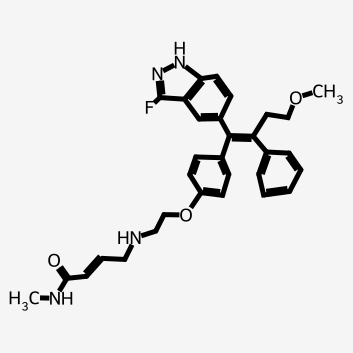 CNC(=O)/C=C/CNCCOc1ccc(/C(=C(/CCOC)c2ccccc2)c2ccc3[nH]nc(F)c3c2)cc1